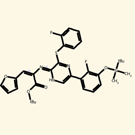 CC(C)(C)OC(=O)C(=C\c1ccco1)/N=c1\[nH]cc(-c2cccc(O[Si](C)(C)C(C)(C)C)c2F)nc1Sc1ccccc1F